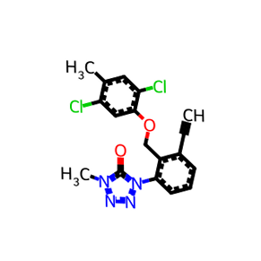 C#Cc1cccc(-n2nnn(C)c2=O)c1COc1cc(Cl)c(C)cc1Cl